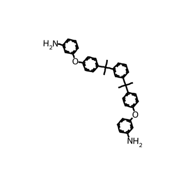 CC(C)(c1ccc(Oc2cccc(N)c2)cc1)c1cccc(C(C)(C)c2ccc(Oc3cccc(N)c3)cc2)c1